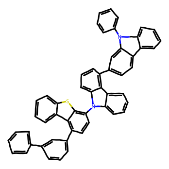 c1ccc(-c2cccc(-c3ccc(-n4c5ccccc5c5c(-c6ccc7c8ccccc8n(-c8ccccc8)c7c6)cccc54)c4sc5ccccc5c34)c2)cc1